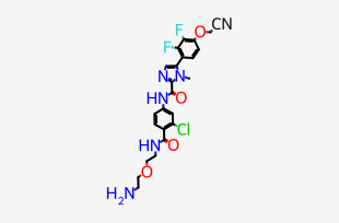 Cn1c(-c2ccc(OCC#N)c(F)c2F)cnc1C(=O)Nc1ccc(C(=O)NCCOCCN)c(Cl)c1